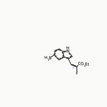 Bc1ccc2[nH]cc(/C=C(/F)C(=O)OCC)c2c1